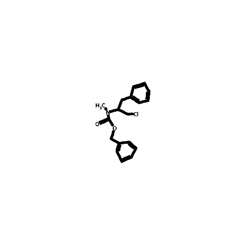 CN(C(=O)OCc1ccccc1)C(CCl)Cc1ccccc1